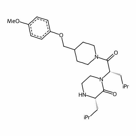 COc1ccc(OCC2CCN(C(=O)[C@H](CC(C)C)N3CCN[C@@H](CC(C)C)C3=O)CC2)cc1